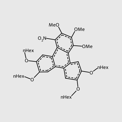 CCCCCCOc1cc2c3cc(OCCCCCC)c(OCCCCCC)cc3c3c([N+](=O)[O-])c(OC)c(OC)c(OC)c3c2cc1OCCCCCC